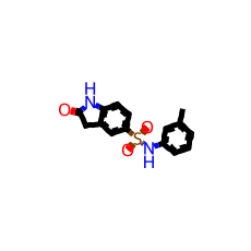 Cc1cccc(NS(=O)(=O)c2ccc3c(c2)CC(=O)N3)c1